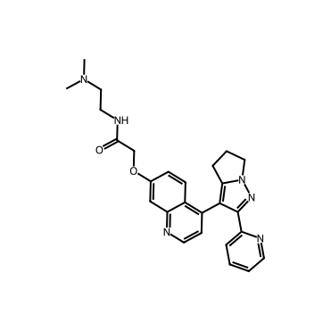 CN(C)CCNC(=O)COc1ccc2c(-c3c(-c4ccccn4)nn4c3CCC4)ccnc2c1